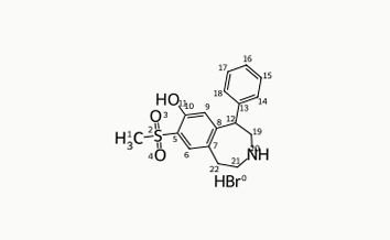 Br.CS(=O)(=O)c1cc2c(cc1O)C(c1ccccc1)CNCC2